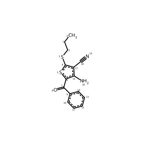 CCCSc1sc(C(=O)c2ccccc2)c(N)c1C#N